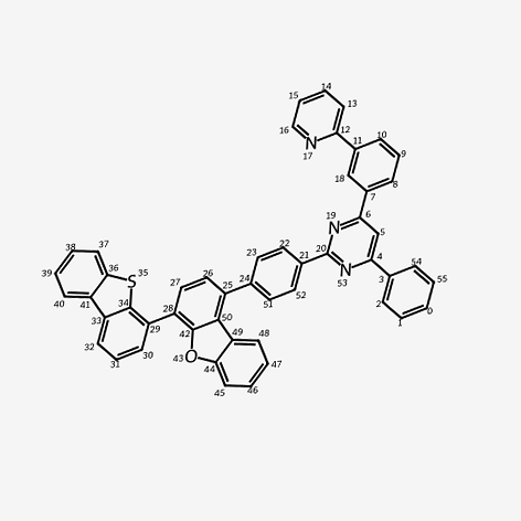 c1ccc(-c2cc(-c3cccc(-c4ccccn4)c3)nc(-c3ccc(-c4ccc(-c5cccc6c5sc5ccccc56)c5oc6ccccc6c45)cc3)n2)cc1